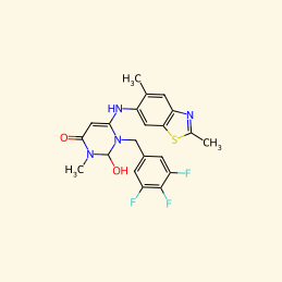 Cc1nc2cc(C)c(NC3=CC(=O)N(C)C(O)N3Cc3cc(F)c(F)c(F)c3)cc2s1